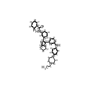 CCN1CCN(c2ccc(Nc3nccc(-c4c(-c5cccc(NC(=O)c6ccccc6F)c5)nc5n4CCS5)n3)cc2)CC1